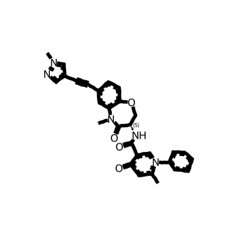 Cc1cc(=O)c(C(=O)N[C@H]2COc3ccc(C#Cc4cnn(C)c4)cc3N(C)C2=O)cn1-c1ccccc1